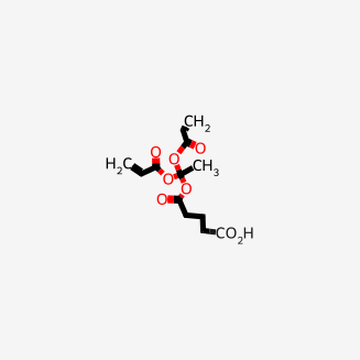 C=CC(=O)OC(C)(OC(=O)C=C)OC(=O)CCCC(=O)O